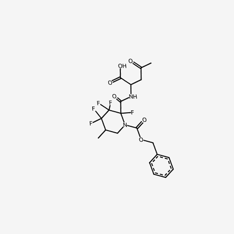 CC(=O)CC(NC(=O)C1(F)N(C(=O)OCc2ccccc2)CC(C)C(F)(F)C1(F)F)C(=O)O